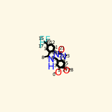 COc1cc2c(NC(C)c3cccc(C(F)(F)F)c3)nc(=O)n(C)c2cc1OC